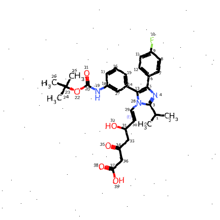 CC(C)c1nc(-c2ccc(F)cc2)c(-c2cccc(NC(=O)OC(C)(C)C)c2)n1/C=C/C(O)CC(=O)CC(=O)O